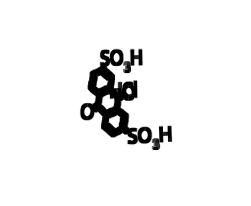 Cl.O=C1c2ccc(S(=O)(=O)O)cc2C(=O)c2cc(S(=O)(=O)O)ccc21